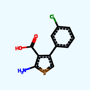 Nc1scc(-c2cccc(Cl)c2)c1C(=O)O